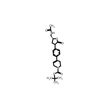 CC(=O)NC[C@@H]1CC(c2ccc(C3=CCN(C(=O)OC(C)(C)C)CC3)cc2)C(=O)O1